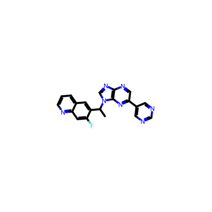 CC(c1cc2cccnc2cc1F)n1cnc2ncc(-c3cncnc3)nc21